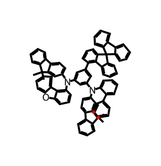 CC1(C)c2ccccc2-c2ccc(N(c3cc(-c4cccc5c4-c4ccccc4C54c5ccccc5-c5ccccc54)cc(N(c4ccc5c(c4)C(C)(C)c4ccccc4-5)c4cccc5oc6ccccc6c45)c3)c3ccccc3-c3ccccc3)cc21